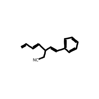 C=CC=CC(C=Cc1ccccc1)CC#N